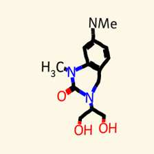 CNc1ccc2c(c1)N(C)C(=O)N(C(CO)CO)C2